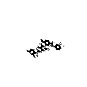 C=Cc1ccc(C(=O)Nc2cccc(C(F)(F)F)c2)cc1-n1c(C)c2cnc(Nc3ccc(C)nc3C)nc2nc1=O